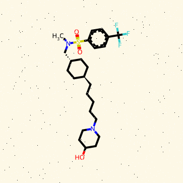 CN(C[C@H]1CC[C@H](CCCCCN2CCC(O)CC2)CC1)S(=O)(=O)c1ccc(C(F)(F)F)cc1